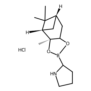 CC1(C)[C@@H]2CC3OB(C4CCCN4)O[C@@]3(C)[C@H]1C2.Cl